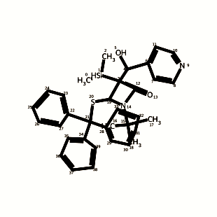 C[SiH](C)C1(C(O)c2ccncc2)C(=O)N(C(C)(C)C)C1SC(c1ccccc1)(c1ccccc1)c1ccccc1